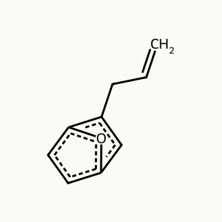 C=CCc1cc2ccc1o2